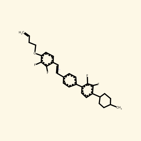 C=CCCOc1ccc(/C=C/c2ccc(-c3ccc(C4CCC(C)CC4)c(F)c3F)cc2)c(F)c1F